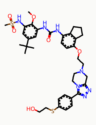 COc1c(NC(=O)Nc2ccc(OCCN3CCn4c(nnc4-c4ccc(SCCO)cc4)C3)c3c2CCC3)cc(C(C)(C)C)cc1NS(C)(=O)=O